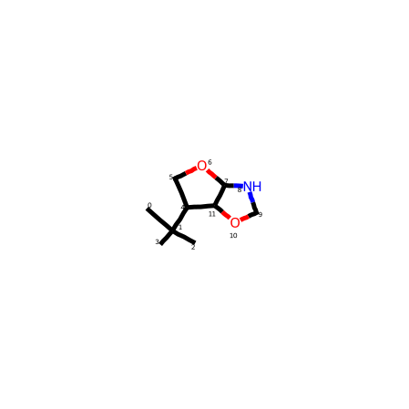 CC(C)(C)C1COC2NCOC21